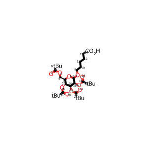 CC(C)(C)C(=O)OC[C@H]1OC(OCCCCCC(=O)O)[C@@H](OC(=O)C(C)(C)C)[C@@H](OC(=O)C(C)(C)C)[C@@H]1OC(=O)C(C)(C)C